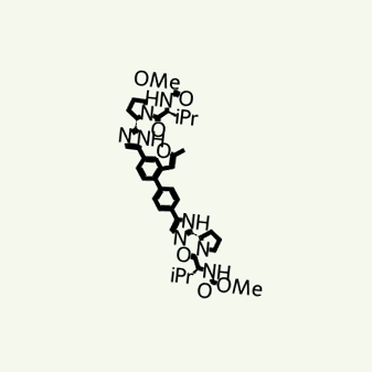 COC(=O)N[C@H](C(=O)N1CCC[C@H]1c1ncc(-c2ccc(-c3ccc(-c4cnc([C@@H]5CCCN5C(=O)[C@@H](NC(=O)OC)C(C)C)[nH]4)c4oc(C)cc34)cc2)[nH]1)C(C)C